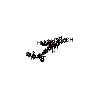 COc1cc(CN2CCN(C3CC4(CCN(c5ccc(C(=O)NS(=O)(=O)c6ccc(NCC7CCC(C)(O)CC7)c([N+](=O)[O-])c6)c(N6c7cc8cc[nH]c8nc7O[C@H]7COCC[C@@H]76)c5)CC4)C3)[C@]3(C[C@@H](C)c4ccccc43)C2)cnc1N1CCOCC1